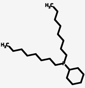 CCCCCCCCP(CCCCCCCC)C1CCCCC1